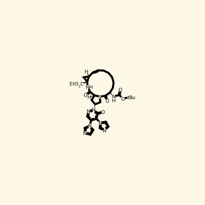 CCOC(=O)[C@@]12C[C@H]1/C=C\CCCCC[C@H](NC(=O)OC(C)(C)C)C(=O)N1C[C@H](n3ncc(-n4ccnc4)c(-n4ccnc4)c3=O)C[C@H]1C(=O)N2